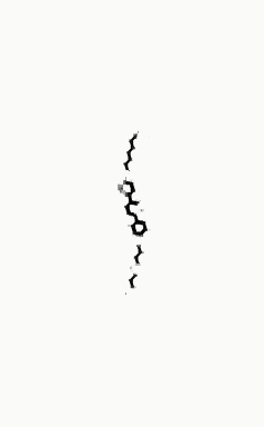 CCCCCCCCOc1ccc(-c2ccc(-c3ccc(OCCCCOCCCC)cc3)nc2)nn1